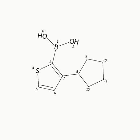 OB(O)c1sccc1C1CCCC1